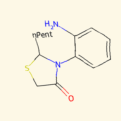 CCCCCC1SCC(=O)N1c1ccccc1N